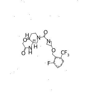 O=C1CO[C@H]2CCN(C(=O)N3CC(OCc4c(F)cccc4C(F)(F)F)C3)C[C@H]2N1